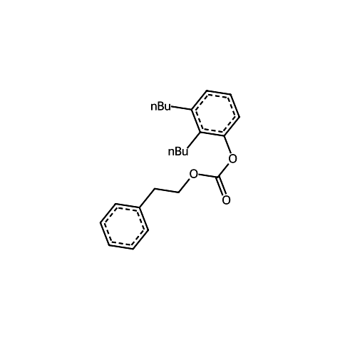 CCCCc1cccc(OC(=O)OCCc2ccccc2)c1CCCC